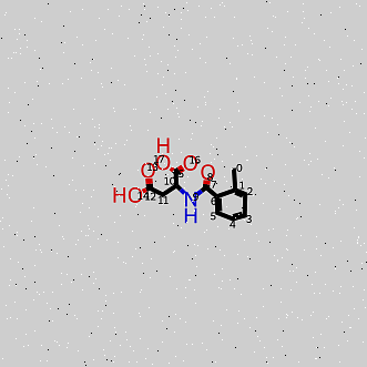 Cc1ccccc1C(=O)NC(CC(=O)O)C(=O)O